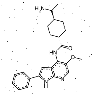 COc1cnc2[nH]c(-c3ccccc3)cc2c1NC(=O)[C@H]1CC[C@H](C(C)N)CC1